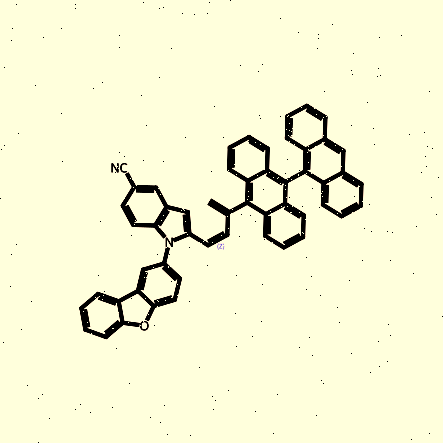 C=C(/C=C\c1cc2cc(C#N)ccc2n1-c1ccc2oc3ccccc3c2c1)c1c2ccccc2c(-c2c3ccccc3cc3ccccc23)c2ccccc12